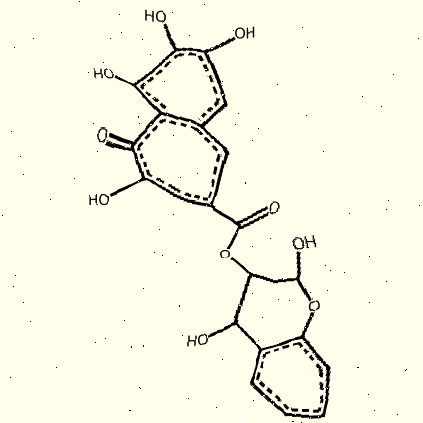 O=C(OC1C(O)Oc2ccccc2C1O)c1cc(O)c(=O)c2c(O)c(O)c(O)cc2c1